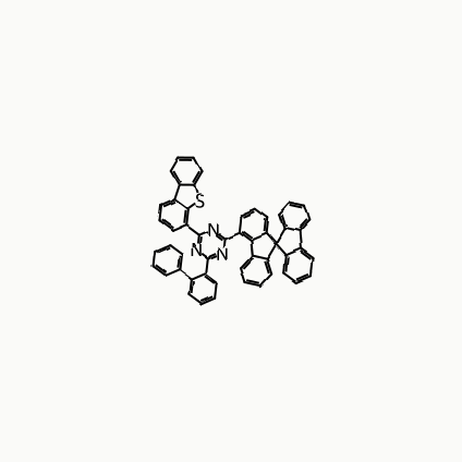 c1ccc(-c2ccccc2-c2nc(-c3cccc4c3-c3ccccc3C43c4ccccc4-c4ccccc43)nc(-c3cccc4c3sc3ccccc34)n2)cc1